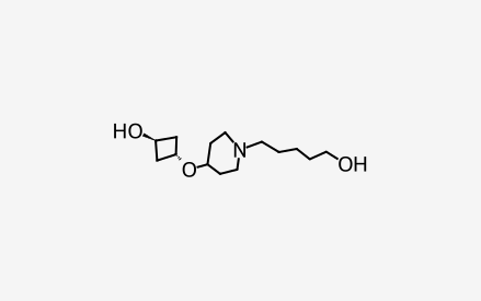 OCCCCCN1CCC(O[C@H]2C[C@H](O)C2)CC1